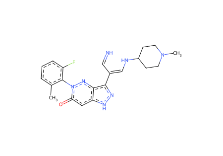 Cc1cccc(F)c1-n1nc2c(/C(C=N)=C/NC3CCN(C)CC3)n[nH]c2cc1=O